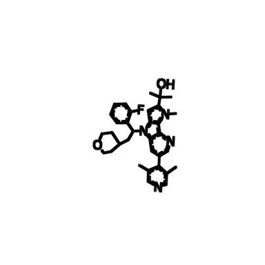 Cc1cncc(C)c1-c1cnc2c3c(cc(C(C)(C)O)n3C)n(C(CC3CCOCC3)c3ccccc3F)c2c1